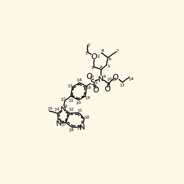 CCOCC(CC(C)C)N(C(=O)OCC)S(=O)(=O)c1ccc(Cn2c(C)nc3cnccc32)cc1